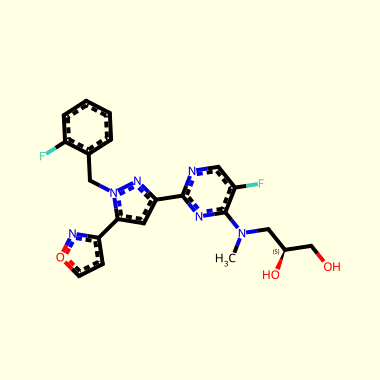 CN(C[C@H](O)CO)c1nc(-c2cc(-c3ccon3)n(Cc3ccccc3F)n2)ncc1F